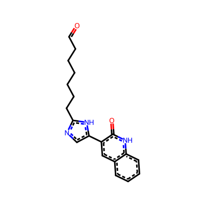 O=CCCCCCCc1ncc(-c2cc3ccccc3[nH]c2=O)[nH]1